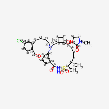 C[C@@H]1[C@@H](C)CCC[C@](O)([C@H]2CCN(C)C2=O)[C@@H]2CC[C@H]2CN2CCCCc3cc(Cl)ccc3COc3ccc(cc32)C(=O)NS1(=O)=O